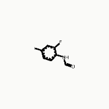 O=CNc1ccc(I)cc1F